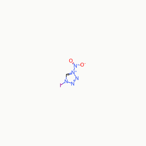 O=[N+]([O-])[n+]1cn(I)nn1